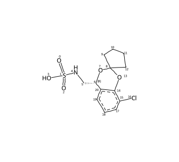 O=S(=O)(O)NC[C@@H]1OC2(CCCC2)Oc2c(Cl)cccc21